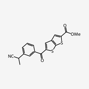 COC(=O)c1cc2cc(C(=O)c3cccc(C(C)C#N)c3)sc2s1